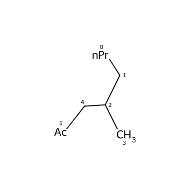 CCCCC(C)CC(C)=O